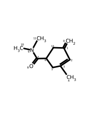 C=C1C=C(C)CC(C(=O)N(C)C)C1